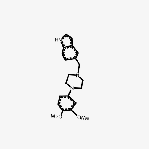 COc1ccc(N2CCN(Cc3ccc4[nH]ccc4c3)CC2)cc1OC